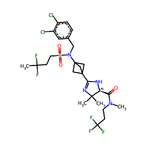 CN(CCC(F)(F)F)C(=O)[C@@H]1NC(C23CC(N(Cc4ccc(Cl)c(Cl)c4)S(=O)(=O)CCC(C)(F)F)(C2)C3)=NC1(C)C